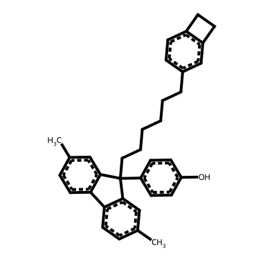 Cc1ccc2c(c1)C(CCCCCCc1ccc3c(c1)CC3)(c1ccc(O)cc1)c1cc(C)ccc1-2